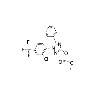 COC(=O)Oc1nc(-c2ccccc2)n(-c2ccc(C(F)(F)F)cc2Cl)n1